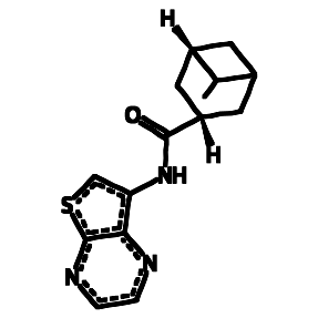 CC1C2C[C@H](C(=O)Nc3csc4nccnc34)C[C@@H]1C2